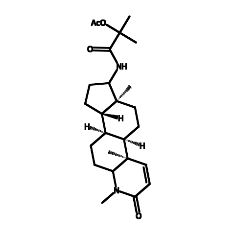 CC(=O)OC(C)(C)C(=O)NC1CC[C@H]2[C@@H]3CCC4N(C)C(=O)C=C[C@]4(C)[C@@H]3CC[C@]12C